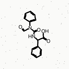 O=CN(C(=O)NC(C(=O)O)c1ccccc1)c1ccccc1